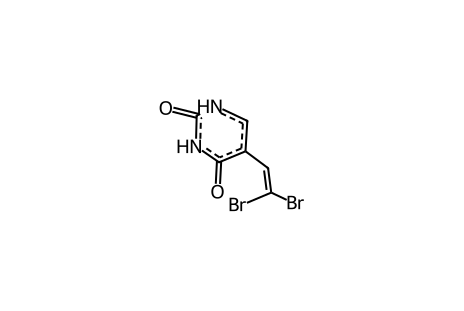 O=c1[nH]cc(C=C(Br)Br)c(=O)[nH]1